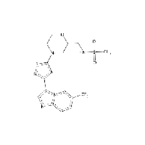 CS(=O)(=O)NCC1CN(c2nc(-c3cnc4ccc(C(F)(F)F)cn34)ns2)CCO1